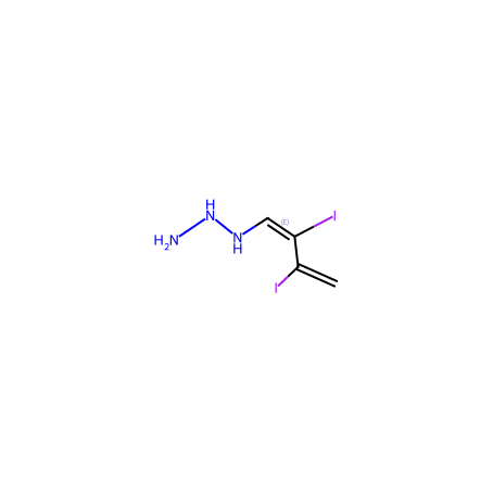 C=C(I)/C(I)=C\NNN